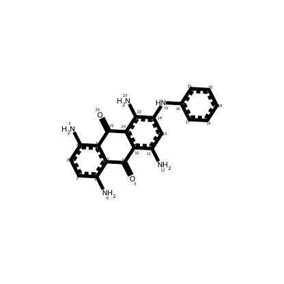 Nc1ccc(N)c2c1C(=O)c1c(N)cc(Nc3ccccc3)c(N)c1C2=O